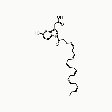 CC/C=C\C/C=C\C/C=C\C/C=C\C/C=C\C/C=C\CCC(=O)n1cc(CC(=O)O)c2cc(O)ccc21